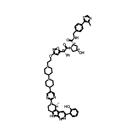 Cc1ncsc1-c1ccc(CNC(=O)[C@@H]2C[C@@H](O)CN2C(=O)[C@@H](c2cc(OCCN3CCC(N4CCC(c5cnc(N6CCc7[nH]c8nnc(-c9ccccc9O)cc8c7[C@H]6C)nc5)CC4)CC3)no2)C(C)C)cc1